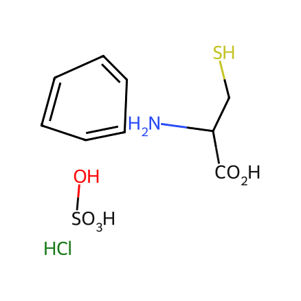 Cl.NC(CS)C(=O)O.O=S(=O)(O)O.c1ccccc1